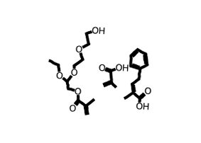 C=C(C)C(=O)O.C=C(C)C(=O)OCC(OCC)OCCOCCO.CC(=CCc1ccccc1)C(=O)O